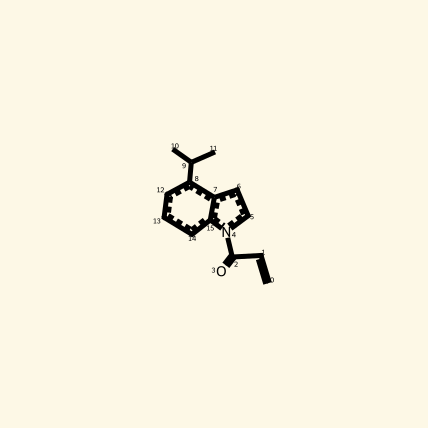 C=CC(=O)n1ccc2c(C(C)C)cccc21